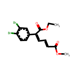 CCOC(=O)C(=CC=CC(=O)OC)c1ccc(Br)c(Br)c1